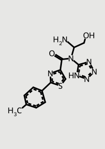 Cc1ccc(-c2nc(C(=O)N(c3nnn[nH]3)C(N)CO)cs2)cc1